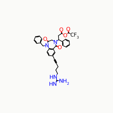 N=C(N)NCCCC#Cc1ccc2c(c1)C(=O)N(C(CC(=O)OC(=O)C(F)(F)F)c1ccccc1)CC(=O)N2Cc1ccccc1